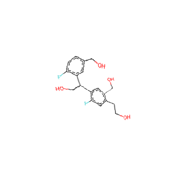 OCCc1cc(F)c(C(CO)c2cc(CO)ccc2F)cc1CO